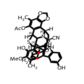 C=CCN1[C@H]2c3c(cc(C)c(OC)c3O)C[C@H]1[C@H](C#N)N1C2[C@@H]2SC[C@]3(NCCc4c3[nH]c3ccc(O)cc43)C(=O)OC[C@H]1c1c3c(c(C)c(OC(C)=O)c12)OCO3